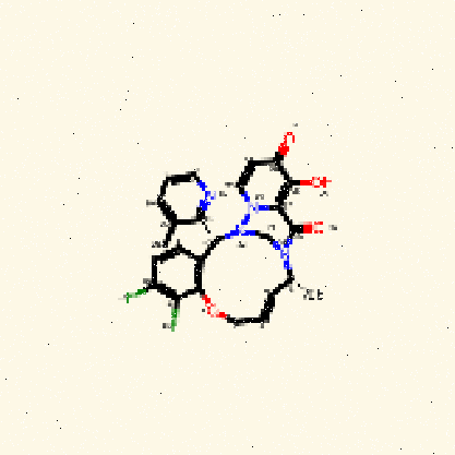 CC[C@@H]1/C=C/COc2c(ccc(F)c2F)[C@H](c2ncccc2C)N2CN1C(=O)c1c(O)c(=O)ccn12